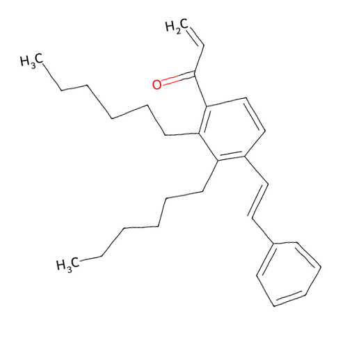 C=CC(=O)c1ccc(C=Cc2ccccc2)c(CCCCCC)c1CCCCCC